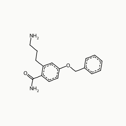 NCCCc1cc(OCc2ccccc2)ccc1C(N)=O